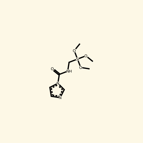 CO[Si](CNC(=O)n1ccnc1)(OC)OC